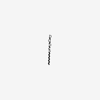 CCCCCCCCCCSSCCOCCOCCOC